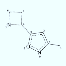 Cc1cc(C2CC[N]2)on1